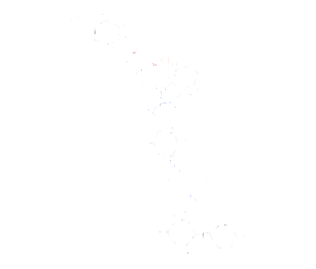 N=c1n(Cc2cccc(N3CCN(Cc4ccccc4-c4ccccc4)CC3)c2)c2ccccc2n1CC(O)COc1ccc(F)cc1